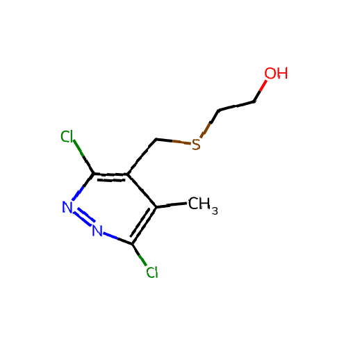 Cc1c(Cl)nnc(Cl)c1CSCCO